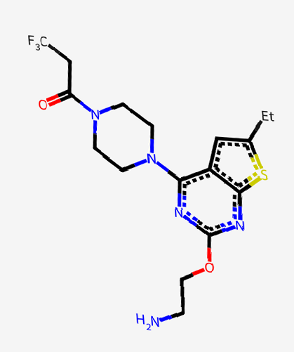 CCc1cc2c(N3CCN(C(=O)CC(F)(F)F)CC3)nc(OCCN)nc2s1